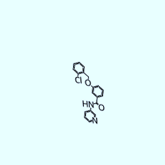 O=C(Nc1cccnc1)c1cccc(OCc2ccccc2Cl)c1